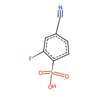 N#Cc1ccc(S(=O)(=O)O)c(F)c1